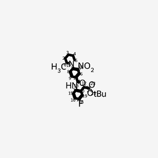 CC1CCCCN1c1ccc(C(=O)Nc2ccc(F)cc2CC(=O)OC(C)(C)C)cc1[N+](=O)[O-]